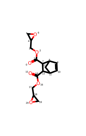 O=C(OCC1CO1)C1C2C=CC(C2)C1C(=O)OCC1CO1